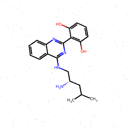 CC(C)C[C@H](N)CNc1nc(-c2c(O)cccc2O)nc2ccccc12